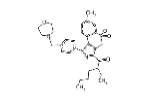 CCCCC(CC)C(=O)c1nn(-c2ccc(CN3CCOCC3)cc2)c2c1CS(=O)(=O)c1cc(C)ccc1-2